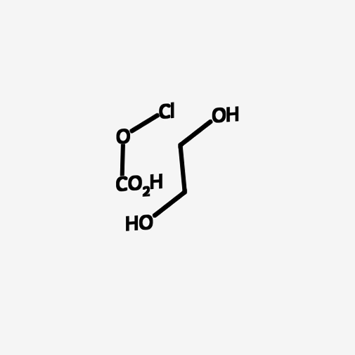 O=C(O)OCl.OCCO